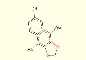 CC(=O)Oc1c2c(c(OC(C)=O)c3cc(C#N)ccc13)OCO2